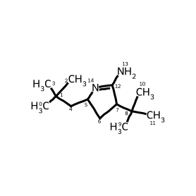 CC(C)(C)CC1CC(C(C)(C)C)C(N)=N1